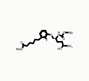 COC(=O)CCCCCc1cccc(OC[C@H](CCC(N)O)NC(=O)OC(C)(C)C)c1F